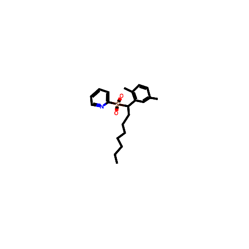 CCCCCCCC(c1cc(C)ccc1C)S(=O)(=O)c1ccccn1